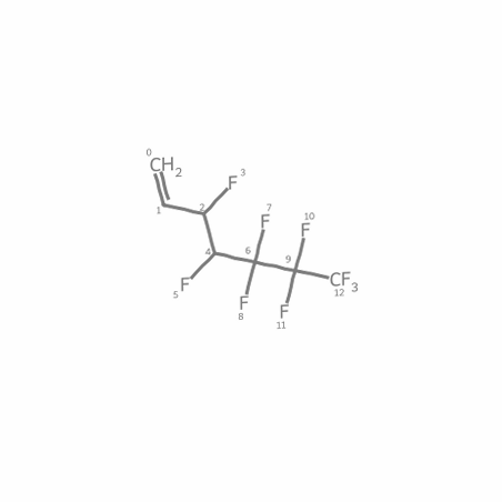 C=CC(F)C(F)C(F)(F)C(F)(F)C(F)(F)F